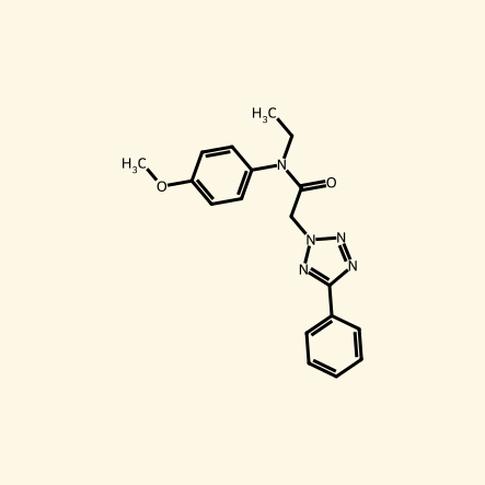 CCN(C(=O)Cn1nnc(-c2ccccc2)n1)c1ccc(OC)cc1